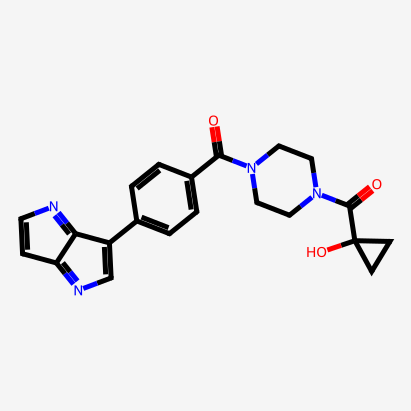 O=C(c1ccc(C2=CN=C3C=CN=C23)cc1)N1CCN(C(=O)C2(O)CC2)CC1